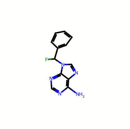 Nc1ncnc2c1ncn2C(F)c1ccccc1